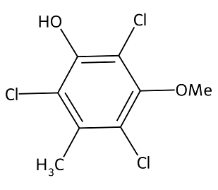 COc1c(Cl)c(C)c(Cl)c(O)c1Cl